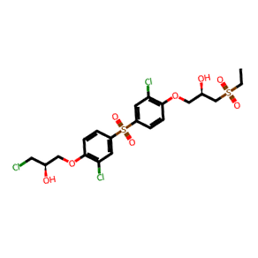 CCS(=O)(=O)C[C@H](O)COc1ccc(S(=O)(=O)c2ccc(OC[C@@H](O)CCl)c(Cl)c2)cc1Cl